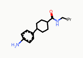 CC(C)CNC(=O)C1CCC(c2ccc(N)cc2)CC1